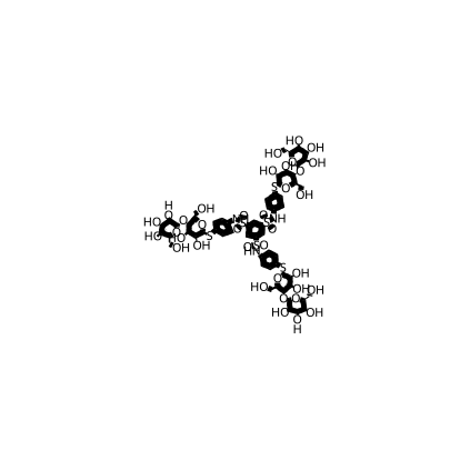 O=S(=O)(Nc1ccc(S[C@@H]2O[C@H](CO)[C@@H](O[C@H]3O[C@H](CO)[C@@H](O)[C@H](O)[C@H]3O)[C@H](O)[C@H]2O)cc1)c1cc(S(=O)(=O)Nc2ccc(S[C@@H]3O[C@H](CO)[C@@H](O[C@H]4O[C@H](CO)[C@@H](O)[C@H](O)[C@H]4O)[C@H](O)[C@H]3O)cc2)cc(S(=O)(=O)Nc2ccc(S[C@@H]3O[C@H](CO)[C@@H](O[C@H]4O[C@H](CO)[C@@H](O)[C@H](O)[C@H]4O)[C@H](O)[C@H]3O)cc2)c1